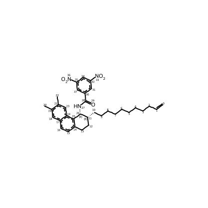 C=CCCCCCCCCC[C@@H]1CCc2ccc3cc(C)c(C)cc3c2[C@@H]1NC(=O)c1cc([N+](=O)[O-])cc([N+](=O)[O-])c1